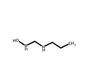 CCCNCBO